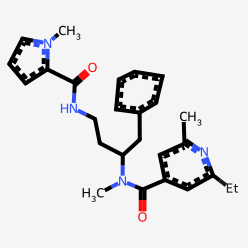 CCc1cc(C(=O)N(C)C(CCNC(=O)c2cccn2C)Cc2ccccc2)cc(C)n1